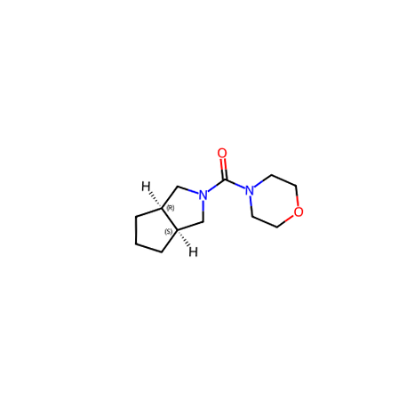 O=C(N1CCOCC1)N1C[C@H]2CCC[C@H]2C1